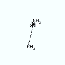 CCCCCCCCCCCCCCCCCC(=O)NN1CCCC(C)C1